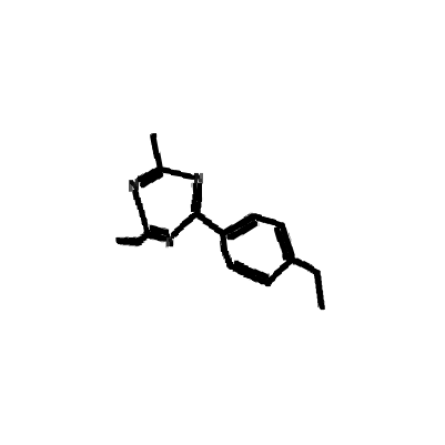 CCc1ccc(-c2nc(C)nc(C)n2)cc1